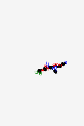 N#Cc1ccc(-c2ccc(CC(NC(=O)[C@@H]3Cc4cc5c(cc4CN3Cc3ccccc3)O[C@@H](c3ccc(OCc4ccc(Cl)c(Cl)c4)cc3)C(=O)N5)C(=O)O)cc2)cc1